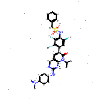 CC(C)n1c(=O)c(-c2cc(F)c(NS(=O)(=O)Cc3ccccc3)c(F)c2F)cc2cnc(N[C@H]3CC[C@H](N(C)C)CC3)nc21